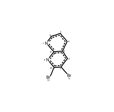 Brc1cc2cccnc2nc1Br